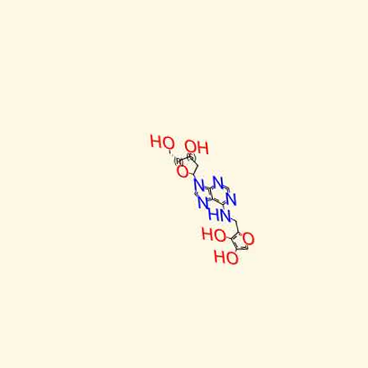 OC[C@H]1OC(n2cnc3c(NCc4occ(O)c4O)ncnc32)C[C@@H]1O